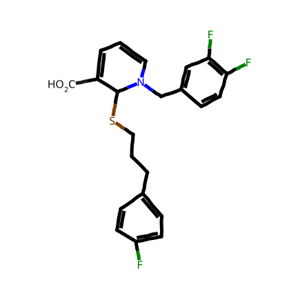 O=C(O)C1=CC=CN(Cc2ccc(F)c(F)c2)C1SCCCc1ccc(F)cc1